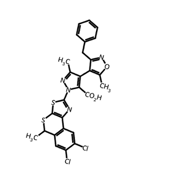 Cc1nn(-c2nc3c(s2)SC(C)c2cc(Cl)c(Cl)cc2-3)c(C(=O)O)c1-c1c(Cc2ccccc2)noc1C